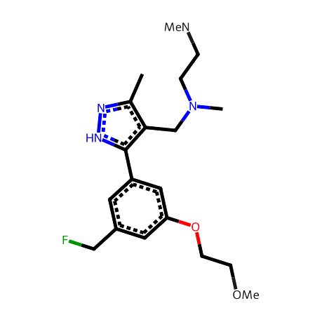 CNCCN(C)Cc1c(C)n[nH]c1-c1cc(CF)cc(OCCOC)c1